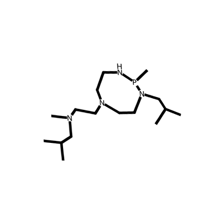 CC(C)CN(C)CCN1CCNP(C)N(CC(C)C)CC1